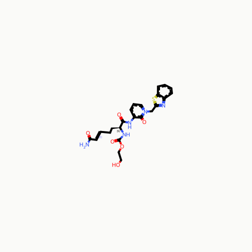 NC(=O)/C=C/CC[C@H](NC(=O)OCCO)C(=O)Nc1cccn(Cc2nc3ccccc3s2)c1=O